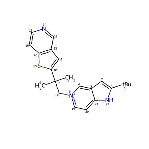 CC(C)(C)c1cc2c[n+](CC(C)(C)c3cc4cnccc4s3)ccc2[nH]1